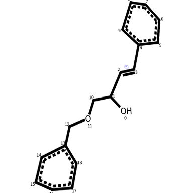 OC(/C=C/c1ccccc1)COCc1ccccc1